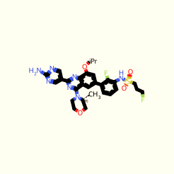 CC(C)Oc1cc(-c2cccc(NS(=O)(=O)CCCF)c2F)cc2c(N3CCOC[C@H]3C)nc(-c3cnc(N)nc3)nc12